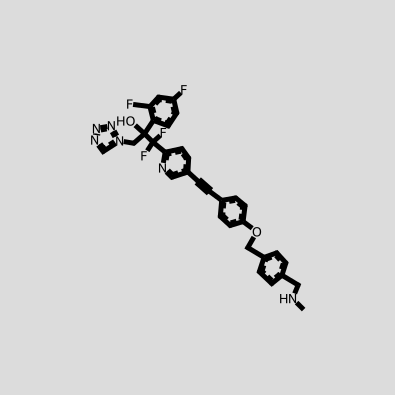 CNCc1ccc(COc2ccc(C#Cc3ccc(C(F)(F)C(O)(Cn4cnnn4)c4ccc(F)cc4F)nc3)cc2)cc1